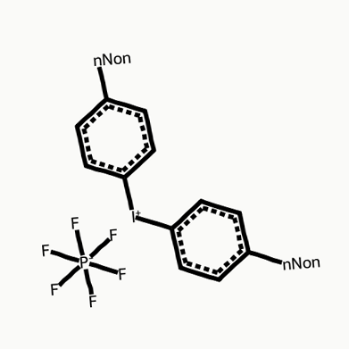 CCCCCCCCCc1ccc([I+]c2ccc(CCCCCCCCC)cc2)cc1.F[P-](F)(F)(F)(F)F